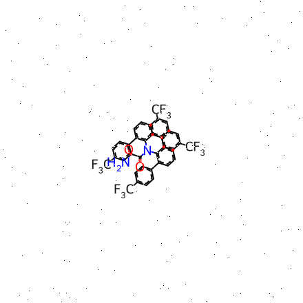 NC(=O)C(=O)N(c1c(-c2ccc(C(F)(F)F)cc2)cccc1-c1ccc(C(F)(F)F)cc1)c1c(-c2ccc(C(F)(F)F)cc2)cccc1-c1ccc(C(F)(F)F)cc1